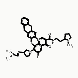 CN(C)/C=N/C1CCN(c2c(F)cc3c(=O)c(C(=O)NCCC4CCCN4C)cn4c3c2Oc2cc3c(cc2-4)Cc2ccccc2C3)C1